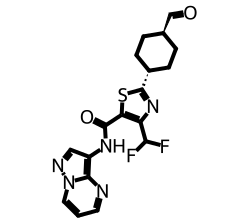 O=C[C@H]1CC[C@H](c2nc(C(F)F)c(C(=O)Nc3cnn4cccnc34)s2)CC1